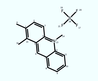 Cc1ccc2c(cc3ccccc3[n+]2C)c1C.F[B-](F)(F)F